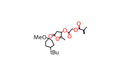 C=C(C)C(=O)OCC(=O)OC1C[C@@H](OC2(OC)CCC(C(C)(C)C)CC2)O[C@@H]1C